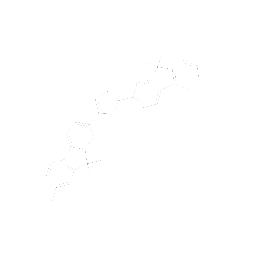 Cc1ccc2c(c1)C(C)(C)c1cc(-c3ccc(-c4ccc5c(c4)C(C)(C)c4cc(C)ccc4-5)s3)ccc1-2